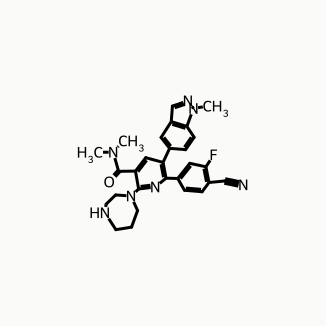 CN(C)C(=O)c1cc(-c2ccc3c(cnn3C)c2)c(-c2ccc(C#N)c(F)c2)nc1N1CCCNCC1